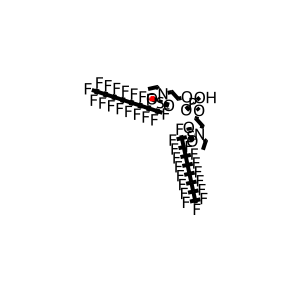 CCN(CCOP(=O)(O)OCCN(CC)S(=O)(=O)C(F)(F)C(F)(F)C(F)(F)C(F)(F)C(F)(F)C(F)(F)C(F)(F)C(F)(F)F)S(=O)(=O)C(F)(F)C(F)(F)C(F)(F)C(F)(F)C(F)(F)C(F)(F)C(F)(F)C(F)(F)F